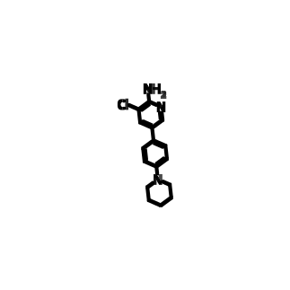 Nc1ncc(-c2ccc(N3CCCCC3)cc2)cc1Cl